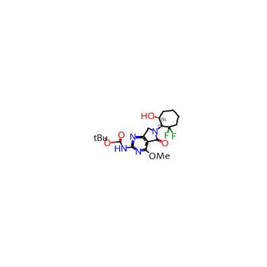 COc1nc(NC(=O)OC(C)(C)C)nc2c1C(=O)N([C@H]1[C@@H](O)CCCCC1(F)F)C2